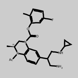 CC(=O)N1c2ccc(C(CN)CNC3CC3)cc2N(C(=O)Oc2cc(F)ccc2C)C[C@@H]1C